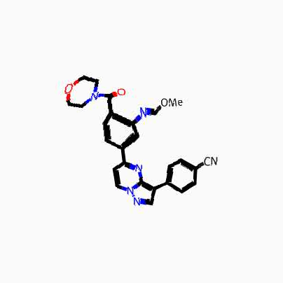 COC=Nc1cc(-c2ccn3ncc(-c4ccc(C#N)cc4)c3n2)ccc1C(=O)N1CCOCC1